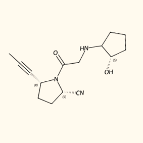 CC#C[C@H]1CC[C@@H](C#N)N1C(=O)CNC1CCC[C@@H]1O